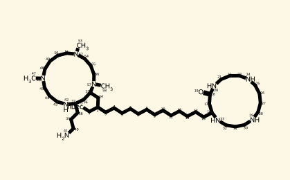 CCCCCCCCCCCC(CCCCCCCCCCCCCC1CC(=O)NCCCNCCCCNCCCN1)CC1CC(CCCN)NCCCN(C)CCCCN(C)CCCN1C